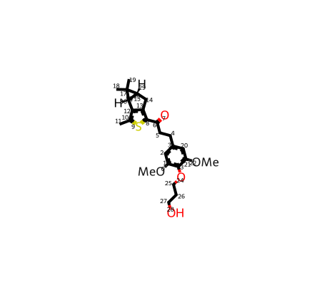 COc1cc(CCC(=O)c2sc(C)c3c2C[C@@H]2[C@H]3C2(C)C)cc(OC)c1OCCCO